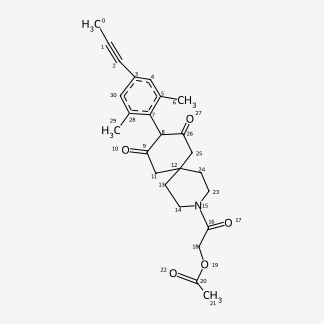 CC#Cc1cc(C)c(C2C(=O)CC3(CCN(C(=O)COC(C)=O)CC3)CC2=O)c(C)c1